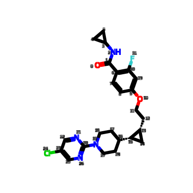 O=C(NC1CC1)c1ccc(OCC[C@@H]2C[C@@H]2C2CCN(c3ncc(Cl)cn3)CC2)cc1F